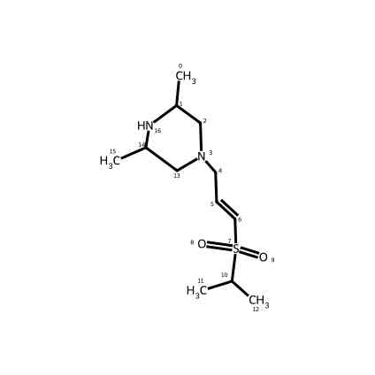 CC1CN(C/C=C/S(=O)(=O)C(C)C)CC(C)N1